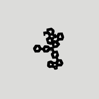 Fc1cccc2c1c1ccccc1n2-c1ccccc1-c1ccc(N(c2ccc(-c3ccccc3)cc2)c2ccc(-c3cccc4oc5ccccc5c34)cc2)cc1